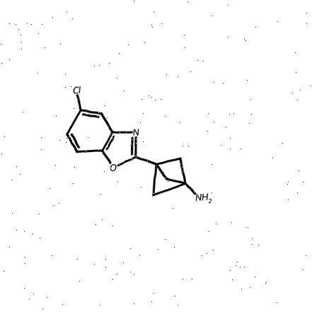 NC12CC(c3nc4cc(Cl)ccc4o3)(C1)C2